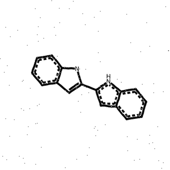 C1=C(c2cc3ccccc3[nH]2)[N]c2ccccc21